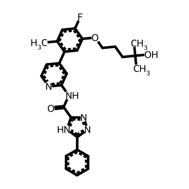 Cc1cc(F)c(OCCCC(C)(C)O)cc1-c1ccnc(NC(=O)c2nnc(-c3ccccc3)[nH]2)c1